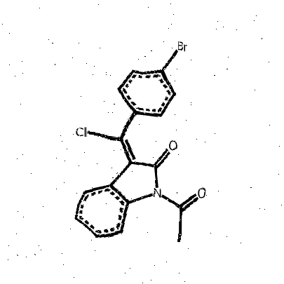 CC(=O)N1C(=O)/C(=C(/Cl)c2ccc(Br)cc2)c2ccccc21